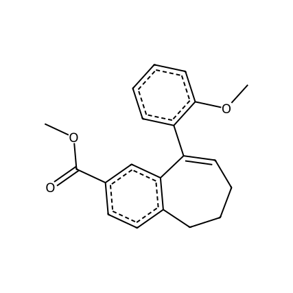 COC(=O)c1ccc2c(c1)C(c1ccccc1OC)=CCCC2